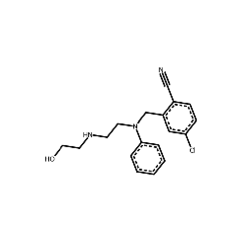 N#Cc1ccc(Cl)cc1CN(CCNCCO)c1ccccc1